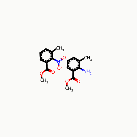 COC(=O)c1cccc(C)c1N.COC(=O)c1cccc(C)c1[N+](=O)[O-]